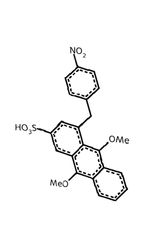 COc1c2ccccc2c(OC)c2c(Cc3ccc([N+](=O)[O-])cc3)cc(S(=O)(=O)O)cc12